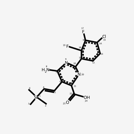 C[Si](C)(C)/C=C/c1c(N)nc(-c2ccc(Cl)c(F)c2F)nc1C(=O)O